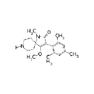 COC1=C(c2c(C)cc(C)cc2C)C(=O)N(C)C12CCN(I)CC2